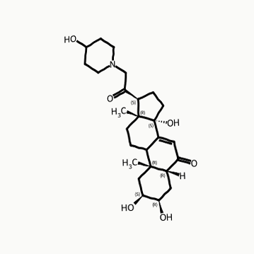 C[C@]12C[C@H](O)[C@H](O)C[C@H]1C(=O)C=C1C2CC[C@]2(C)[C@@H](C(=O)CN3CCC(O)CC3)CC[C@@]12O